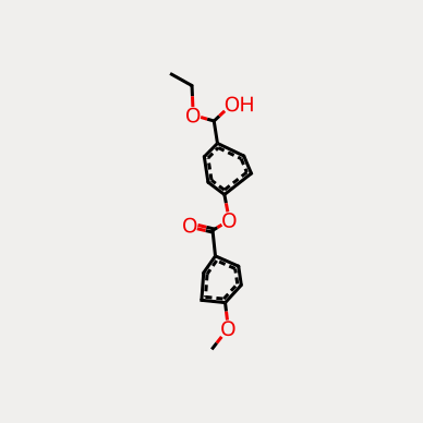 CCOC(O)c1ccc(OC(=O)c2ccc(OC)cc2)cc1